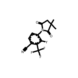 CC1(C)CC(=O)N(c2ccc(C#N)c(C(F)(F)F)[c]2[Y])C1=O